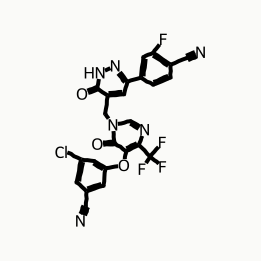 N#Cc1cc(Cl)cc(Oc2c(C(F)(F)F)ncn(Cc3cc(-c4ccc(C#N)c(F)c4)n[nH]c3=O)c2=O)c1